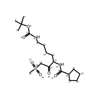 CC(C)(C)OC(=O)NCCCCC(NC(=O)C1CCCC1)C(=O)CS(C)(=O)=O